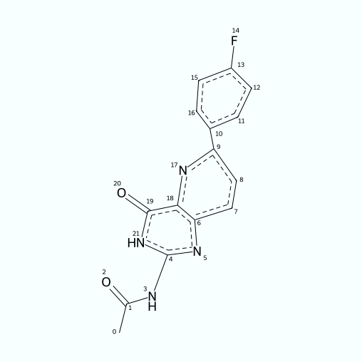 CC(=O)Nc1nc2ccc(-c3ccc(F)cc3)nc2c(=O)[nH]1